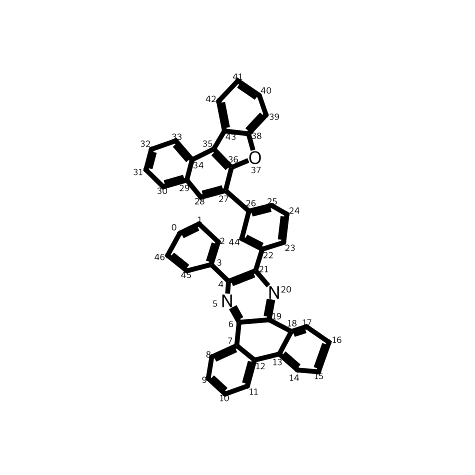 c1ccc(-c2nc3c4ccccc4c4ccccc4c3nc2-c2cccc(-c3cc4ccccc4c4c3oc3ccccc34)c2)cc1